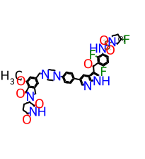 COc1cc(CN2CCN(c3ccc(-c4cnc5[nH]cc(C(=O)c6c(F)ccc(NS(=O)(=O)N7CC[C@@H](F)C7)c6F)c5c4)cc3)CC2)cc2c1C(=O)N(C1CCC(=O)NC1=O)C2